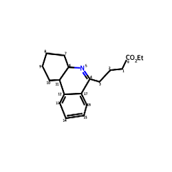 CCOC(=O)CCCC1=NC2CCCCC2c2ccccc21